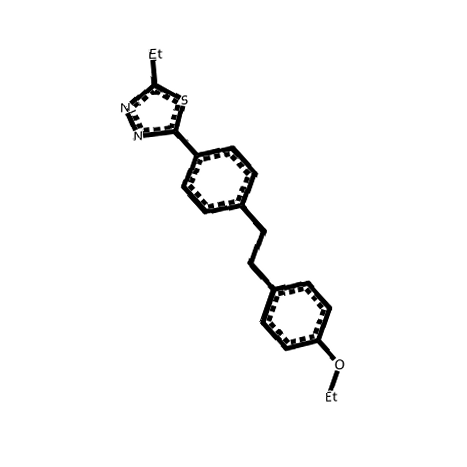 CCOc1ccc(CCc2ccc(-c3nnc(CC)s3)cc2)cc1